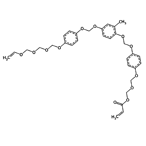 C=COCOCOCOc1ccc(OCOc2ccc(OCOc3ccc(OCOCOC(=O)C=C)cc3)c(C)c2)cc1